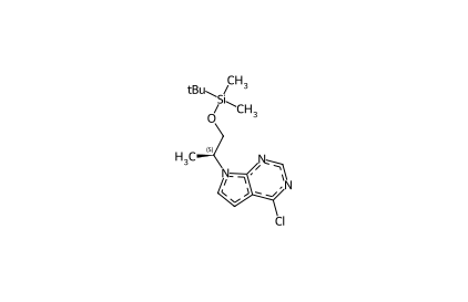 C[C@@H](CO[Si](C)(C)C(C)(C)C)n1ccc2c(Cl)ncnc21